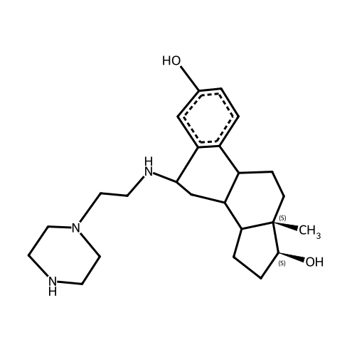 C[C@]12CCC3c4ccc(O)cc4C(NCCN4CCNCC4)CC3C1CC[C@@H]2O